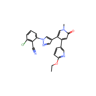 CCOc1ccc(-c2cc(=O)n(C)cc2-c2cnn(-c3cccc(Cl)c3C#N)c2)cn1